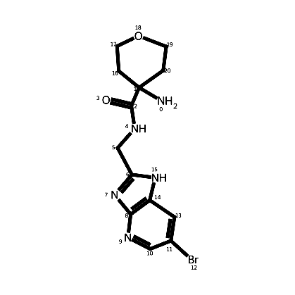 NC1(C(=O)NCc2nc3ncc(Br)cc3[nH]2)CCOCC1